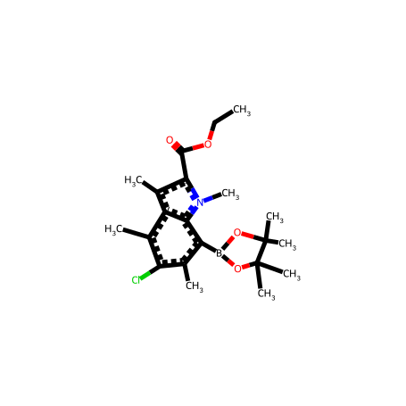 CCOC(=O)c1c(C)c2c(C)c(Cl)c(C)c(B3OC(C)(C)C(C)(C)O3)c2n1C